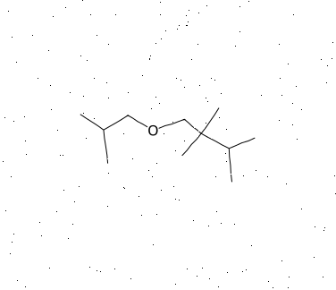 CC(C)COCC(C)(C)C(C)C